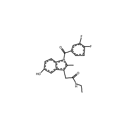 CCNC(=O)Cc1c(C)n(C(=O)c2ccc(F)c(F)c2)c2ccc(O)cc12